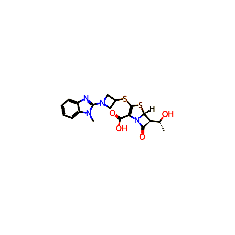 C[C@@H](O)[C@H]1C(=O)N2C(C(=O)O)=C(SC3CN(c4nc5ccccc5n4C)C3)S[C@H]12